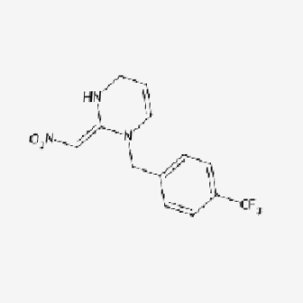 O=[N+]([O-])C=C1NCC=CN1Cc1ccc(C(F)(F)F)cc1